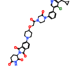 O=C1CCC(N2C(=O)c3ccc(N4CCC(OCC(=O)N5CCN(c6cccc(-c7cnc8[nH]cc(C9CC9)c8c7Cl)c6)C(=O)C5)CC4)cc3C2=O)C(=O)N1